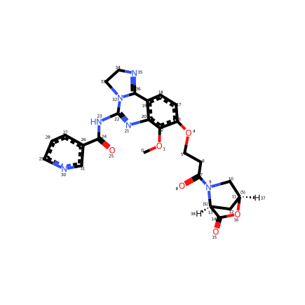 COc1c(OCCC(=O)N2C[C@@H]3C[C@H]2C(=O)O3)ccc2c1N=C(NC(=O)c1cccnc1)N1CCN=C21